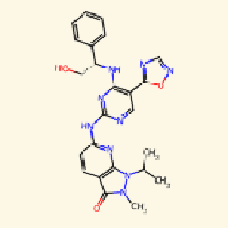 CC(C)n1c2nc(Nc3ncc(-c4ncno4)c(N[C@H](CO)c4ccccc4)n3)ccc2c(=O)n1C